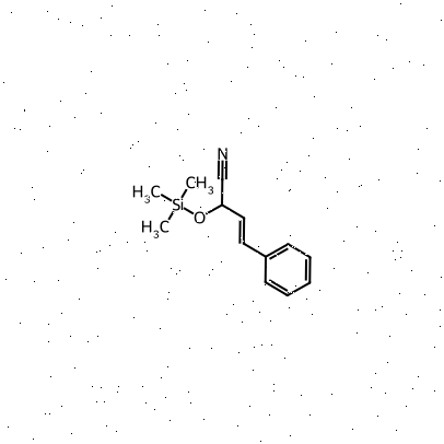 C[Si](C)(C)OC(C#N)/C=C/c1ccccc1